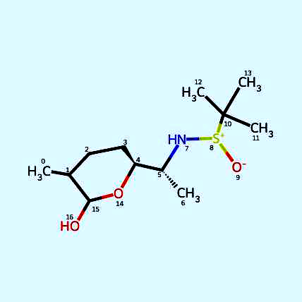 CC1CC[C@@H]([C@@H](C)N[S+]([O-])C(C)(C)C)OC1O